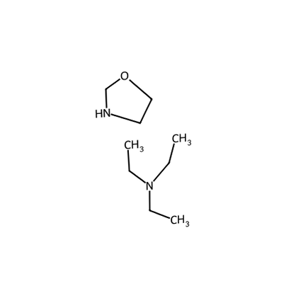 C1COCN1.CCN(CC)CC